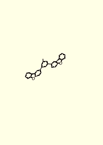 Cc1cc(-c2ccc3oc4ccccc4c3c2)cc(-c2ccc3oc4ccccc4c3c2)c1